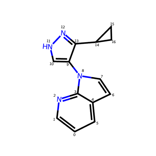 c1cnc2c(c1)ccn2-c1c[nH]nc1C1CC1